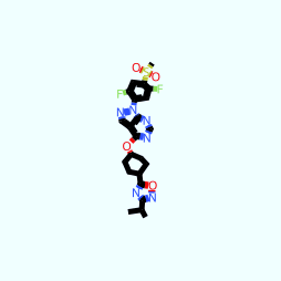 CC(C)c1noc(C2CCC(Oc3ncnc4c3cnn4-c3cc(F)c(S(C)(=O)=O)cc3F)CC2)n1